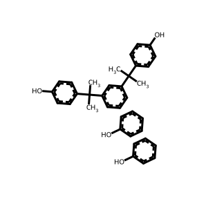 CC(C)(c1ccc(O)cc1)c1cccc(C(C)(C)c2ccc(O)cc2)c1.Oc1ccccc1.Oc1ccccc1